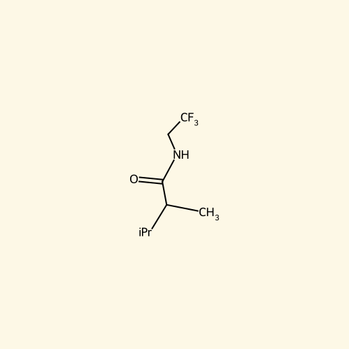 CC(C)C(C)C(=O)NCC(F)(F)F